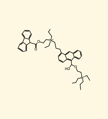 CCC[N+](CC)(CCCc1cccc2c(C(O)OCC[N+](CC)(CCC)CCC)c3ccccc3cc12)CCOC(=O)C1c2ccccc2-c2ccccc21